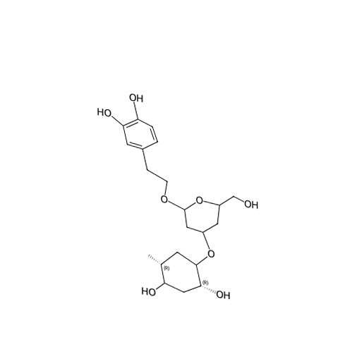 C[C@@H]1CC(OC2CC(CO)OC(OCCc3ccc(O)c(O)c3)C2)[C@H](O)CC1O